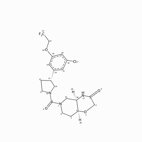 O=C1CO[C@H]2CCN(C(=O)N3CC[C@H](c4cc(Cl)cc(OCC(F)(F)F)c4)C3)C[C@H]2N1